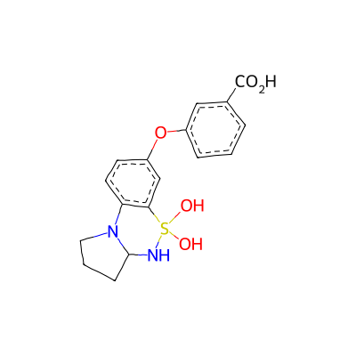 O=C(O)c1cccc(Oc2ccc3c(c2)S(O)(O)NC2CCCN32)c1